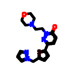 O=c1ccc(-c2ccc(Cn3cccn3)s2)nn1CCN1CCOCC1